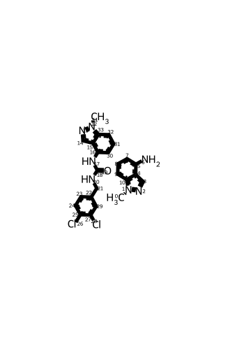 Cn1ncc2c(N)cccc21.Cn1ncc2c(NC(=O)NCc3ccc(Cl)c(Cl)c3)cccc21